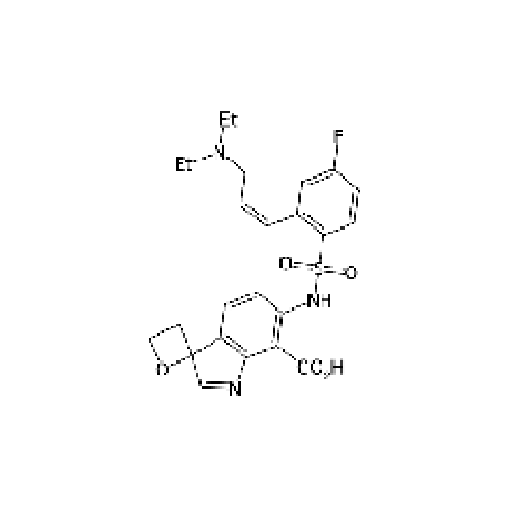 CCN(CC)C/C=C\c1cc(F)ccc1S(=O)(=O)Nc1ccc2c(c1C(=O)O)N=CC21CCO1